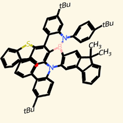 CC(C)(C)c1ccc(N2B3c4cc5c(cc4N(c4ccc(C(C)(C)C)cc4-c4ccccc4)c4cc6c(sc7ccccc76)c(c43)-c3ccc(C(C)(C)C)cc32)-c2ccccc2C5(C)C)cc1